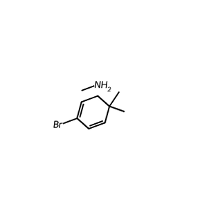 CC1(C)C=CC(Br)=CC1.CN